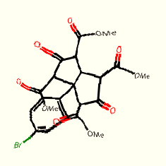 COC(=O)C1C(=O)C(C(=O)OC)C2(c3ccc(Br)cc3)C(C(=O)OC)C(=O)C(C(=O)OC)C12